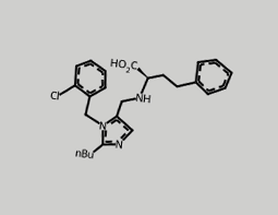 CCCCc1ncc(CN[C@H](CCc2ccccc2)C(=O)O)n1Cc1ccccc1Cl